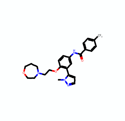 Cn1nccc1-c1cc(NC(=O)c2ccc(C(F)(F)F)cc2)ccc1OCCN1CCCOCC1